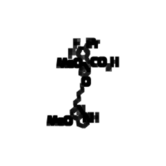 COc1cc(CCCCCO[C@@H]2CCN(C(C(=O)O)c3cc(C(C)C)c(F)c(F)c3OC)C2)nc2c1CCCN2